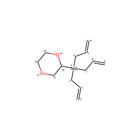 C=C[CH2][Nd]([CH2]C=C)([CH2]C=C)[CH]1COCCO1